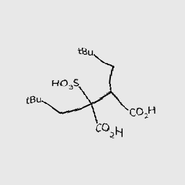 CC(C)(C)CC(C(=O)O)C(CC(C)(C)C)(C(=O)O)S(=O)(=O)O